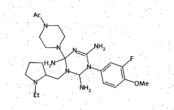 CCN1CCCC1CN1C(N)N(c2ccc(OC)c(F)c2)C(N)=NC1(N)N1CCN(C(C)=O)CC1